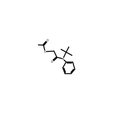 CC(=O)OCC(=O)N(c1ccccc1)C(C)(C)C